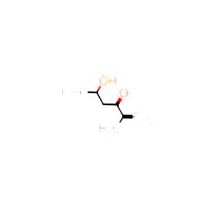 C=C(C)C(=O)CC(O)[C]=O